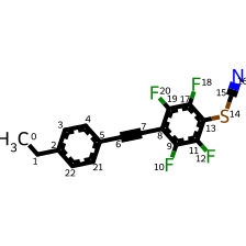 CCc1ccc(C#Cc2c(F)c(F)c(SC#N)c(F)c2F)cc1